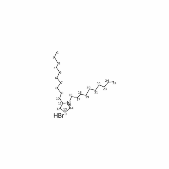 Br.CCCCCCCCCCC1CCCN1CCCCCCCCCC